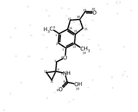 Cc1cc(OCC2(NC(=O)O)CC2)c(C)c2c1CC(C=O)C2